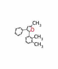 Cc1cc(-c2ccccc2)c(-c2cccc(C)c2C)o1